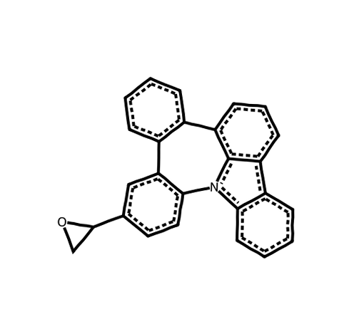 c1ccc2c(c1)-c1cc(C3CO3)ccc1-n1c3ccccc3c3cccc-2c31